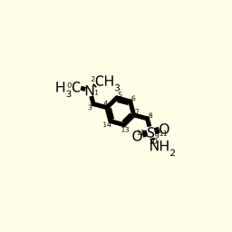 CN(C)Cc1ccc(CS(N)(=O)=O)cc1